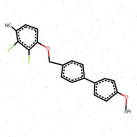 CCCOc1ccc(-c2ccc(COc3ccc(C#N)c(F)c3F)cc2)cc1